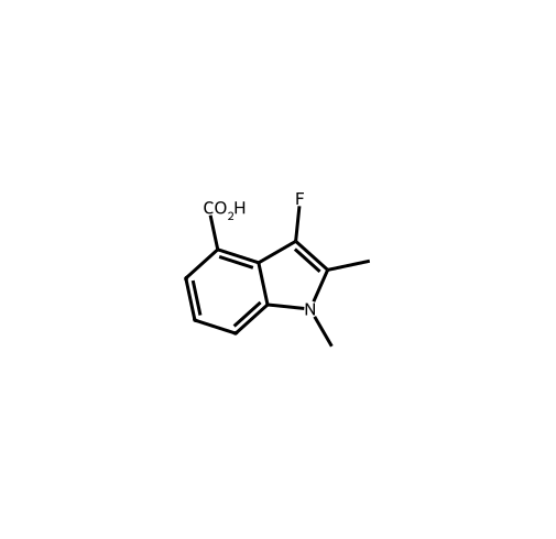 Cc1c(F)c2c(C(=O)O)cccc2n1C